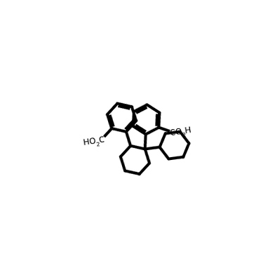 O=C(O)c1ccccc1C1CCCCC1(c1ccccc1C(=O)O)C1CCCCC1